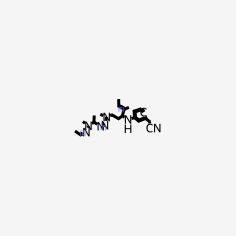 C/C=N\N(C)C(C)/N=N\N(C)CCC(Nc1cccc(CC#N)c1)/C(C)=C/C